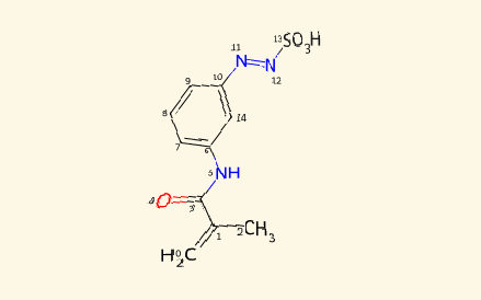 C=C(C)C(=O)Nc1cccc(N=NS(=O)(=O)O)c1